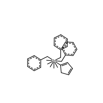 [CH3][Zr]([CH3])([CH3])([CH3])([CH3])([CH2]c1ccccc1)([CH2]c1ccccc1)([CH2]c1ccccc1)[C]1=CC=CC1